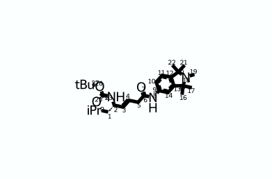 CC(C)C[C@@H](/C=C/CC(=O)Nc1ccc2c(c1)C(C)(C)N(C)C2(C)C)NC(=O)OC(C)(C)C